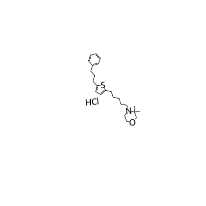 CC1(C)COCCN1CCCCCc1ccc(CCCc2ccccc2)s1.Cl